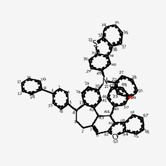 C1=C2CCC(c3ccc(-c4ccccc4)cc3)c3ccc(N(c4ccccc4)c4ccc5sc6ccccc6c5c4)cc3C2C(c2ccccc2)c2c1oc1ccccc21